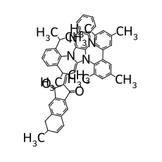 Cc1cc(C)cc(-c2cc(C)cc(C)c2N2/C(=C/C=C3\C(=O)c4cc5c(cc4C3=O)CC(C)C=C5)N(c3c(C(C)C)cccc3C(C)C)c3nc4ccccc4nc32)c1